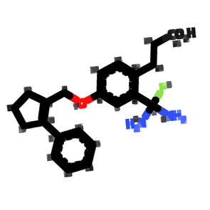 NC(N)(F)c1cc(OCC2=C(c3ccccc3)CCC2)ccc1CCC(=O)O